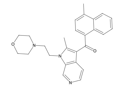 Cc1ccc(C(=O)c2c(C)n(CCN3CCOCC3)c3cnccc23)c2ccccc12